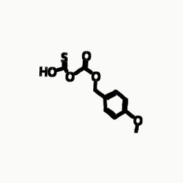 COc1ccc(COC(=O)OC(O)=S)cc1